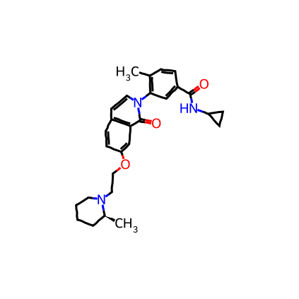 Cc1ccc(C(=O)NC2CC2)cc1-n1ccc2ccc(OCCN3CCCC[C@@H]3C)cc2c1=O